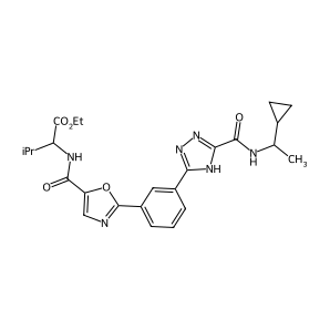 CCOC(=O)C(NC(=O)c1cnc(-c2cccc(-c3nnc(C(=O)NC(C)C4CC4)[nH]3)c2)o1)C(C)C